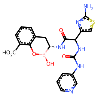 Nc1nc(C(NC(=O)Nc2cccnc2)C(=O)N[C@H]2Cc3cccc(C(=O)O)c3OB2O)cs1